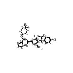 CC1(c2ccc(Cl)cc2)C(=O)Nc2nc(-c3cn4ccnc4c(OC4CCC(F)(F)CC4)n3)nc(N)c21